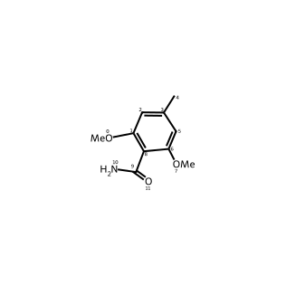 COc1cc(C)cc(OC)c1C(N)=O